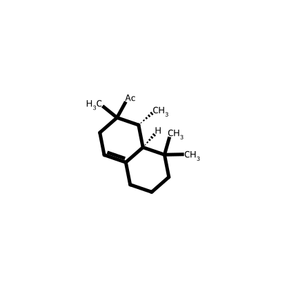 CC(=O)C1(C)CC=C2CCCC(C)(C)[C@@H]2[C@H]1C